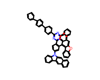 c1ccc(-c2ccc(-c3ccc(-c4nc(-c5ccccc5)nc(-c5ccc(-n6c7ccccc7c7cc8ccccc8cc76)cc5-c5c6ccccc6cc6oc7ccccc7c56)n4)cc3)cc2)cc1